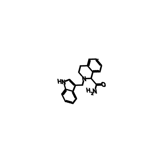 NC(=O)C1c2cc[c]cc2CCN1Cc1c[nH]c2ccccc12